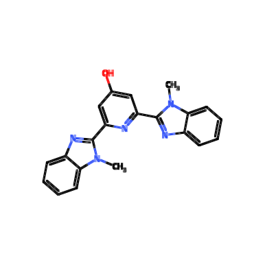 Cn1c(-c2cc(O)cc(-c3nc4ccccc4n3C)n2)nc2ccccc21